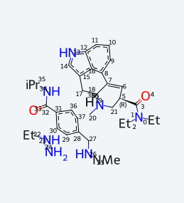 CCN(CC)C(=O)[C@@H]1C=C2c3cccc4[nH]cc(c34)C[C@H]2N(C)C1.CCNN.CNNCc1ccc(C(=O)NC(C)C)cc1